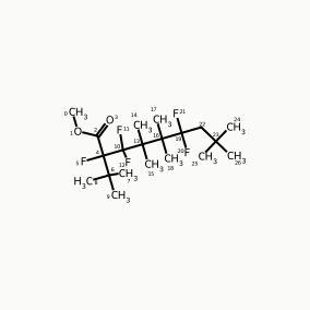 COC(=O)C(F)(C(C)(C)C)C(F)(F)C(C)(C)C(C)(C)C(F)(F)CC(C)(C)C